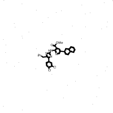 COC(=O)c1cc(-c2ccc3ccccc3c2)cnc1Nc1nc(-c2ccc(Cl)c(Cl)c2)c(CC(C)C)s1